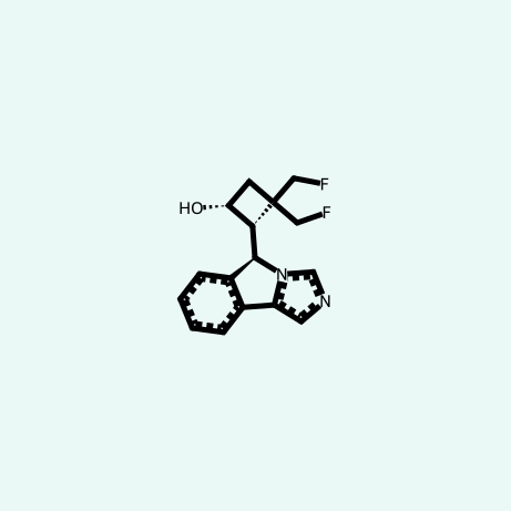 O[C@@H]1CC(CF)(CF)[C@@H]1[C@@H]1c2ccccc2-c2cncn21